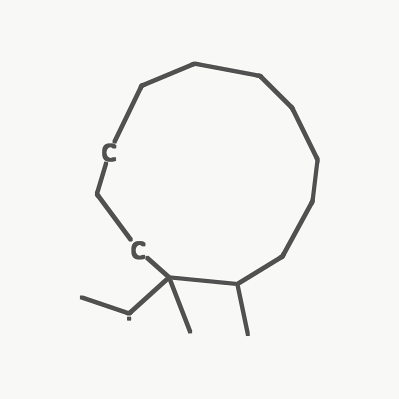 C[CH]C1(C)CCCCCCCCCCC1C